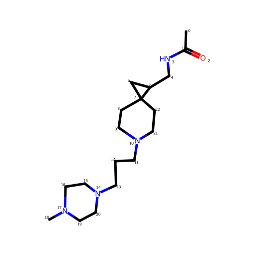 CC(=O)NCC1CC12CCN(CCCN1CCN(C)CC1)CC2